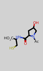 CC(=O)N1CC(O)CC1C(=O)NC(CS)C(=O)O